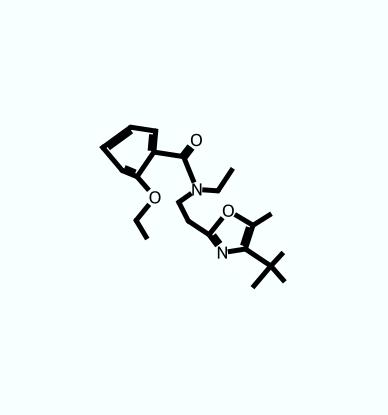 CCOc1ccccc1C(=O)N(CC)CCc1nc(C(C)(C)C)c(C)o1